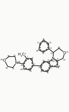 Cc1cc(-c2ccc3nc4n(c3c2)C(c2ccccc2)COC4)cnc1N1CCOCC1